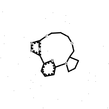 c1cc2nc(c1)N1CCCC1COCCCCc1nnc-2o1